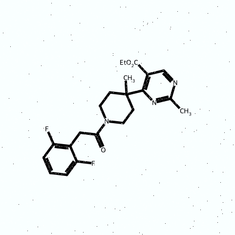 CCOC(=O)c1cnc(C)nc1C1(C)CCN(C(=O)Cc2c(F)cccc2F)CC1